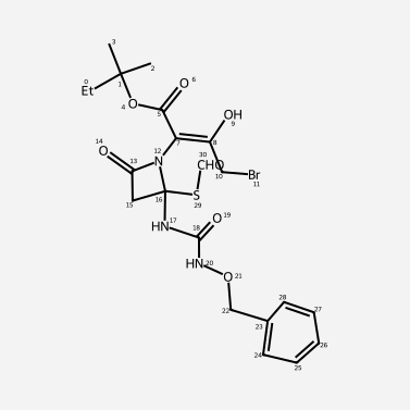 CCC(C)(C)OC(=O)C(=C(O)CBr)N1C(=O)CC1(NC(=O)NOCc1ccccc1)SC=O